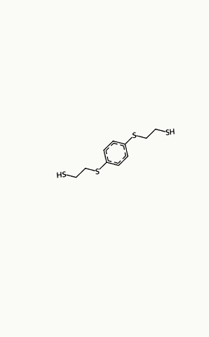 SCCSc1ccc(SCCS)cc1